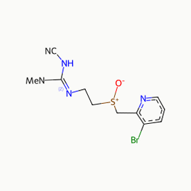 CN/C(=N/CC[S+]([O-])Cc1ncccc1Br)NC#N